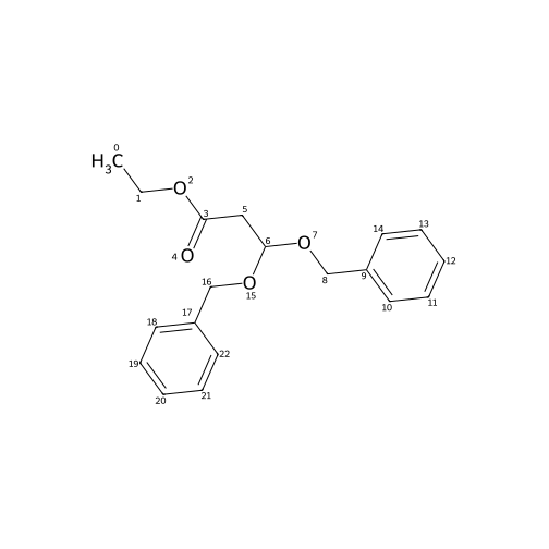 CCOC(=O)CC(OCc1ccccc1)OCc1ccccc1